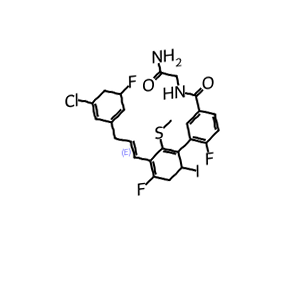 CSC1=C(c2cc(C(=O)NCC(N)=O)ccc2F)C(I)CC(F)=C1/C=C/CC1=CC(F)CC(Cl)=C1